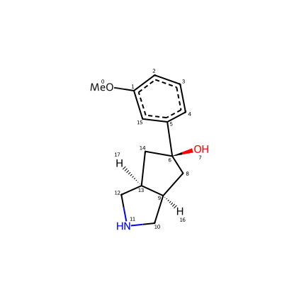 COc1cccc([C@]2(O)C[C@H]3CNC[C@H]3C2)c1